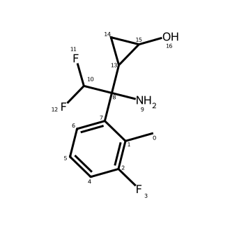 Cc1c(F)cccc1C(N)(C(F)F)C1CC1O